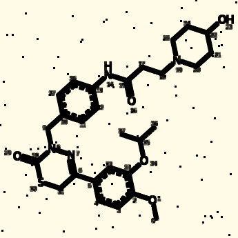 COc1ccc(C2=NN(Cc3ccc(NC(=O)CCN4CCC(O)CC4)cc3)C(=O)SC2)cc1OC(C)C